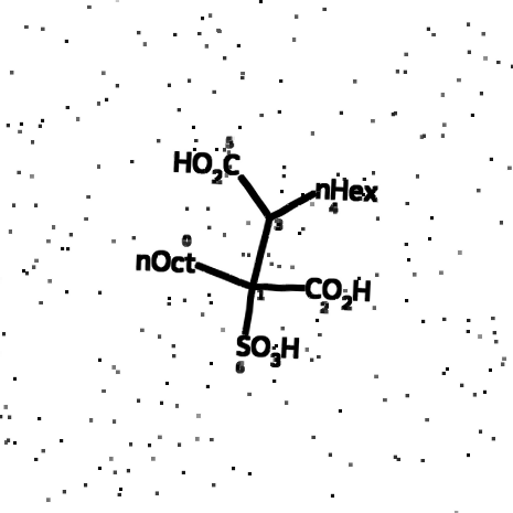 CCCCCCCCC(C(=O)O)(C(CCCCCC)C(=O)O)S(=O)(=O)O